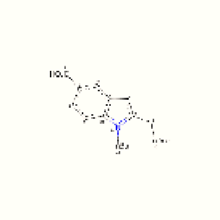 CCCCCCCCCCCc1cc2cc(C(=O)O)ccc2n1CCCC